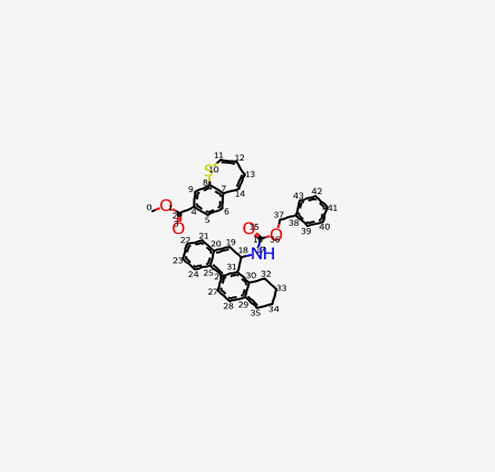 COC(=O)c1ccc2c(c1)SC=CC=C2.O=C(NC1C=c2ccccc2=c2ccc3c(c21)CCCC=3)OCc1ccccc1